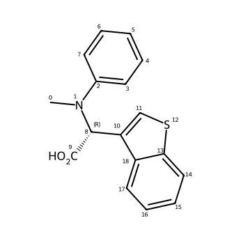 CN(c1ccccc1)[C@@H](C(=O)O)c1csc2ccccc12